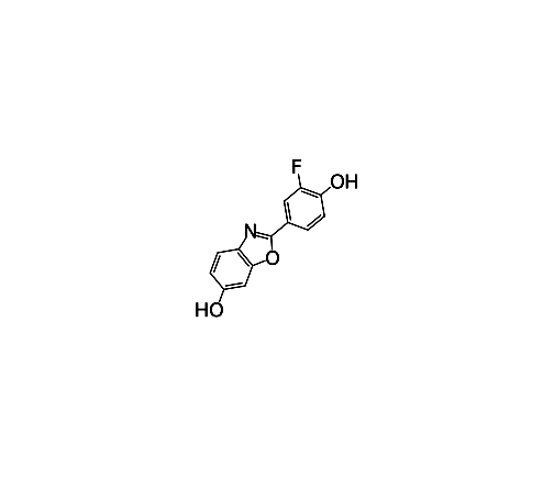 Oc1ccc2nc(-c3ccc(O)c(F)c3)oc2c1